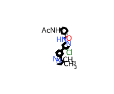 CC(=O)N[C@@H]1CCC[C@H](C(=O)Nc2cc(-c3ccc4nn5c(c4c3)C(C)(C)CC5)c(Cl)cn2)C1